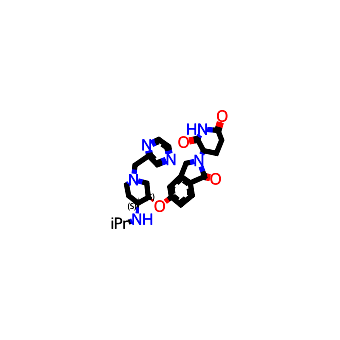 CC(C)N[C@H]1CCN(Cc2cnccn2)C[C@@H]1Oc1ccc2c(c1)CN(C1CCC(=O)NC1=O)C2=O